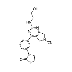 N#CN1Cc2nc(NCCO)nc(-c3cccc(N4CCOC4=O)c3)c2C1